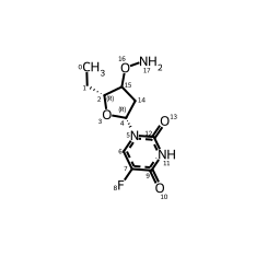 CC[C@H]1O[C@@H](n2cc(F)c(=O)[nH]c2=O)CC1ON